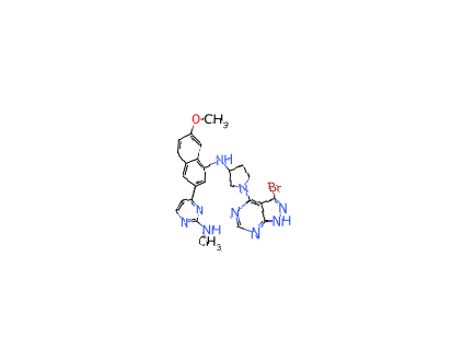 CNc1nccc(-c2cc(NC3CCN(c4ncnc5[nH]nc(Br)c45)C3)c3cc(OC)ccc3c2)n1